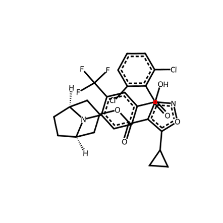 O=C(O)c1ccc(N2[C@@H]3CC[C@H]2CC(OC(=O)c2c(-c4c(Cl)cccc4Cl)noc2C2CC2)C3)c(C(F)(F)F)c1